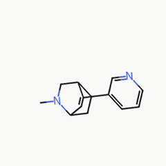 CN1CC2CCC1C=C2c1cccnc1